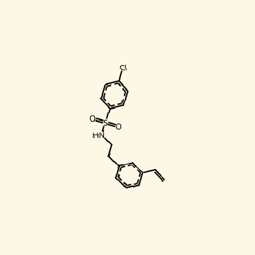 C=Cc1cccc(CCNS(=O)(=O)c2ccc(Cl)cc2)c1